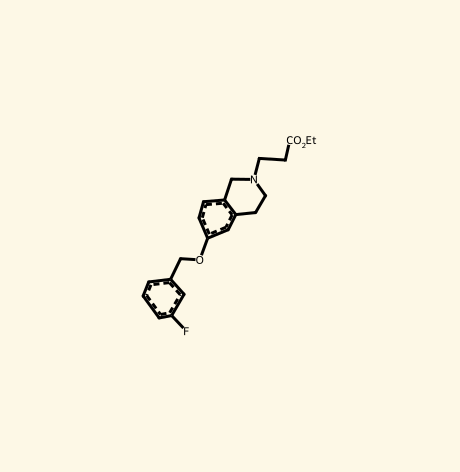 CCOC(=O)CCN1CCc2cc(OCc3cccc(F)c3)ccc2C1